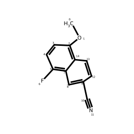 COc1ccc(F)c2[c]c(C#N)ccc12